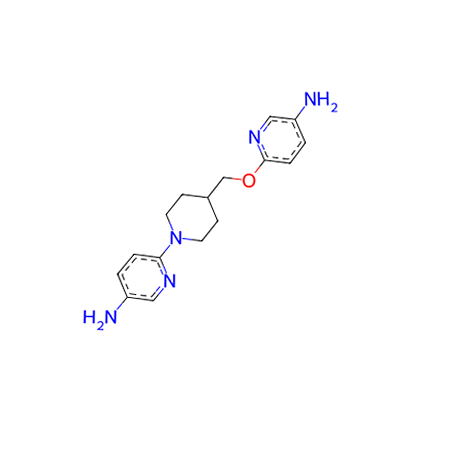 Nc1ccc(OCC2CCN(c3ccc(N)cn3)CC2)nc1